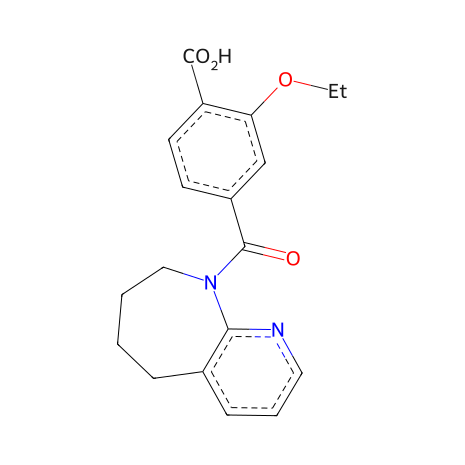 CCOc1cc(C(=O)N2CCCCc3cccnc32)ccc1C(=O)O